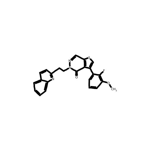 COc1cccc(-c2csc3cnn(CCc4ccc5ccccc5n4)c(=O)c23)c1F